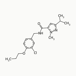 CCCOc1ccc(CNC(=O)c2cc(C(C)C)nn2C)cc1Cl